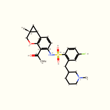 CCN1CCCC(Cc2cc(F)ccc2S(=O)(=O)Nc2ccc3c(c2C(=O)OC)OC[C@@H]2CC32)C1